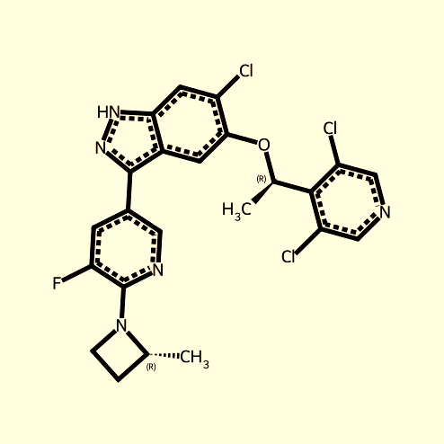 C[C@@H]1CCN1c1ncc(-c2n[nH]c3cc(Cl)c(O[C@H](C)c4c(Cl)cncc4Cl)cc23)cc1F